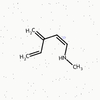 C=CC(=C)/C=C\NC